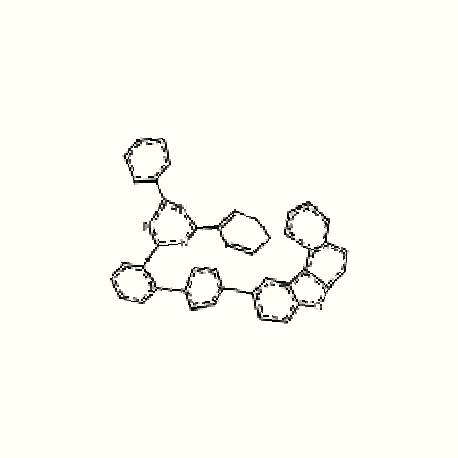 C1=CC(c2nc(-c3ccccc3)nc(-c3ccccc3-c3ccc(-c4ccc5oc6ccc7ccccc7c6c5c4)cc3)n2)=CCC1